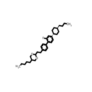 CCCCCC1COC(CCc2ccc(-c3ccc([C@H]4CC[C@H](CCCC)CC4)cc3F)cc2)OC1